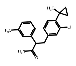 CC1(c2ccc(CC(C(N)=O)c3cccc(C(F)(F)F)c3)cc2Cl)CC1